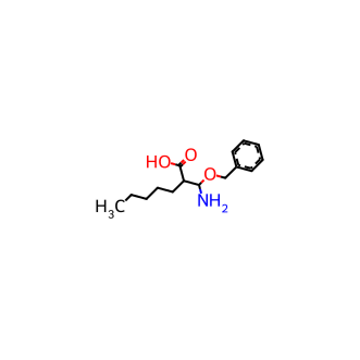 CCCCCC(C(=O)O)C(N)OCc1ccccc1